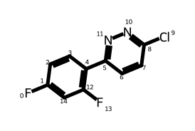 Fc1ccc(-c2ccc(Cl)nn2)c(F)c1